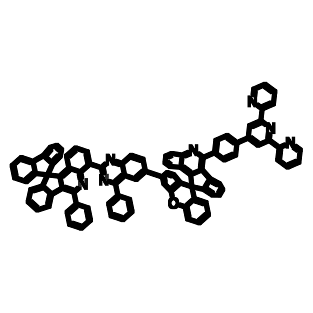 c1ccc(-c2nc3c(-c4nc(-c5ccccc5)c5cc(-c6ccc7c(c6)Oc6ccccc6C76c7ccccc7-c7c(-c8ccc(-c9cc(-c%10ccccn%10)nc(-c%10ccccn%10)c9)cc8)nc8ccccc8c76)ccc5n4)cccc3c3c2-c2ccccc2C32c3ccccc3-c3ccccc32)cc1